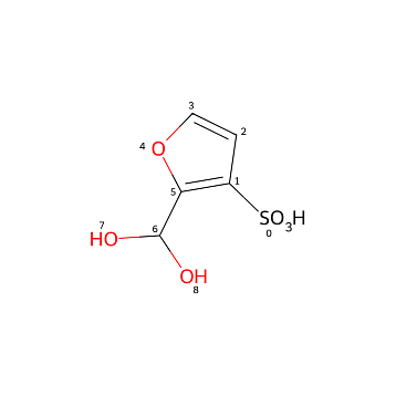 O=S(=O)(O)c1ccoc1C(O)O